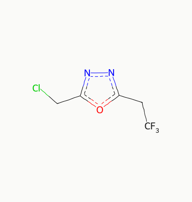 FC(F)(F)Cc1nnc(CCl)o1